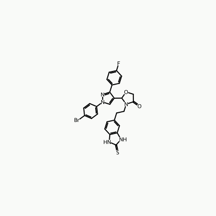 O=C1COC(c2cn(-c3ccc(Br)cc3)nc2-c2ccc(F)cc2)N1CCc1ccc2[nH]c(=S)[nH]c2c1